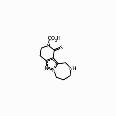 O=C(O)N1CCc2nn3c(c2C1=S)CNCCC3